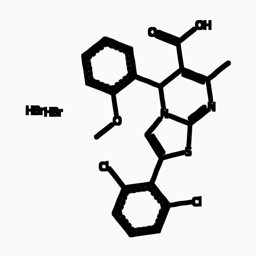 Br.Br.COc1ccccc1C1C(C(=O)O)=C(C)N=C2SC(c3c(Cl)cccc3Cl)=CN21